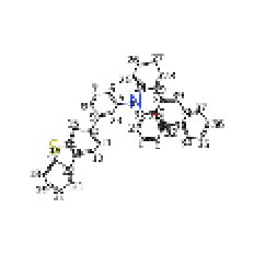 c1ccc(N(c2cccc(-c3ccc4c(c3)sc3ccccc34)c2)c2ccccc2-c2ccc3ccccc3c2)cc1